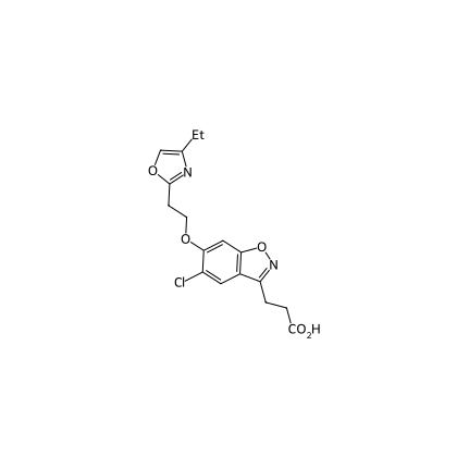 CCc1coc(CCOc2cc3onc(CCC(=O)O)c3cc2Cl)n1